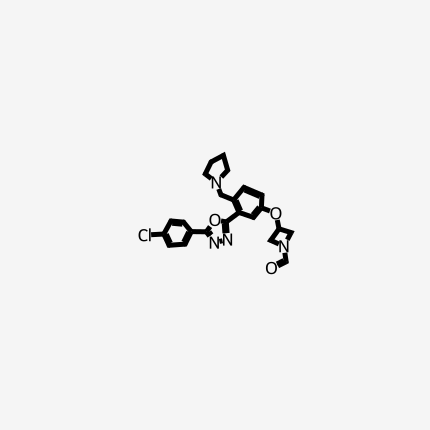 O=CN1CC(Oc2ccc(CN3CCCC3)c(-c3nnc(-c4ccc(Cl)cc4)o3)c2)C1